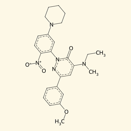 CCN(C)c1cc(-c2cccc(OC)c2)nn(-c2cc(N3CCCCC3)ccc2[N+](=O)[O-])c1=O